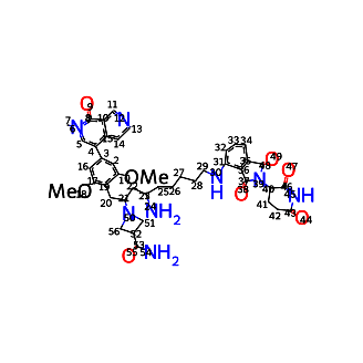 COc1cc(-c2cn(C)c(=O)c3cnccc23)cc(OC)c1CC(CC(N)CCCCCNc1cccc2c1C(=O)N(C1CCC(=O)NC1=O)C2=O)N1CC(C(N)=O)C1